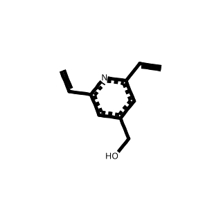 C=Cc1cc(CO)cc(C=C)n1